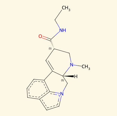 CCNC(=O)[C@H]1C=C2c3cccc4ccn(c34)C[C@H]2N(C)C1